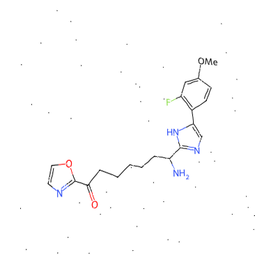 COc1ccc(-c2cnc(C(N)CCCCCC(=O)c3ncco3)[nH]2)c(F)c1